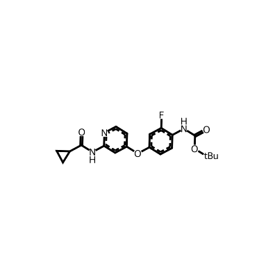 CC(C)(C)OC(=O)Nc1ccc(Oc2ccnc(NC(=O)C3CC3)c2)cc1F